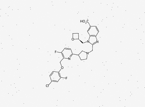 O=C(O)c1ccc2nc(CN3CCC(c4ccc(F)c(COc5ccc(Cl)cc5F)n4)C3)n(C[C@@H]3CCO3)c2c1